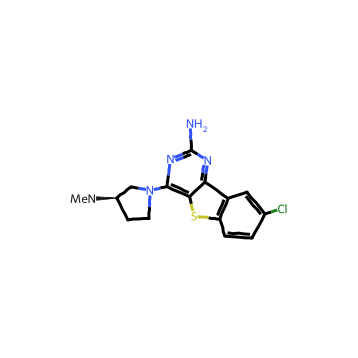 CN[C@@H]1CCN(c2nc(N)nc3c2sc2ccc(Cl)cc23)C1